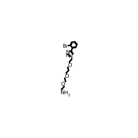 NCCOCCOCCCOCCn1cc(-c2ccccc2Br)nn1